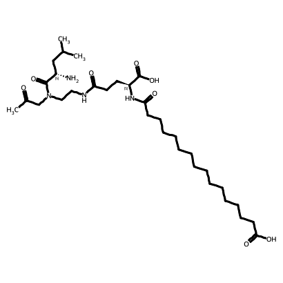 CC(=O)CN(CCNC(=O)CC[C@H](NC(=O)CCCCCCCCCCCCCCC(=O)O)C(=O)O)C(=O)[C@@H](N)CC(C)C